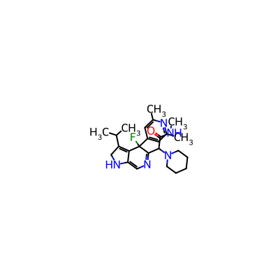 CNC(=O)C(C1=NC=C2NCC(C(C)C)=C2C1(F)c1cc(C)nc(C)c1)N1CCCCC1